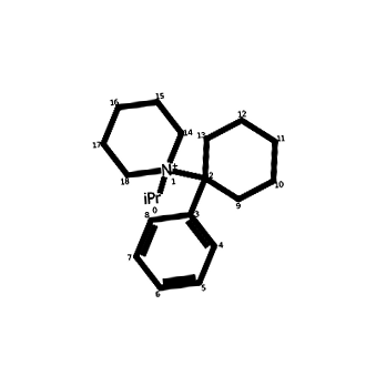 CC(C)[N+]1(C2(c3ccccc3)CCCCC2)CCCCC1